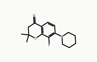 CC1(C)CC(=O)c2ccc(N3CCCCC3)c(F)c2O1